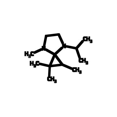 CC(C)N1CCN(C)C12C(C)C2(C)C